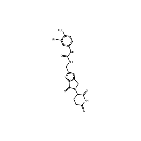 Cc1ccc(NC(=O)NCc2cc3c(s2)C(=O)N(C2CCC(=O)NC2=O)C3)cc1C(C)C